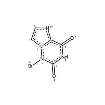 O=c1[nH]c(=O)n(Br)n2ccnc12